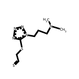 CN(C)CCCn1nnnc1SCC=S